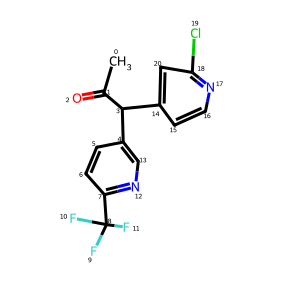 CC(=O)C(c1ccc(C(F)(F)F)nc1)c1ccnc(Cl)c1